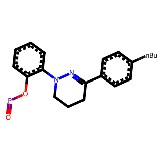 CCCCc1ccc(C2=NN(c3ccccc3OP=O)CCC2)cc1